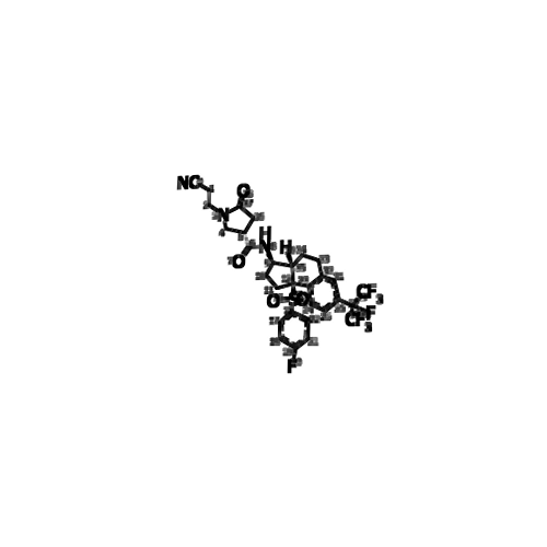 N#CCCN1C[C@@H](C(=O)N[C@@H]2CC[C@@]3(S(=O)(=O)c4ccc(F)cc4)c4ccc(C(F)(C(F)(F)F)C(F)(F)F)cc4CC[C@@H]23)CC1=O